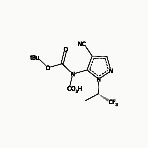 C[C@H](n1ncc(C#N)c1N(C(=O)O)C(=O)OC(C)(C)C)C(F)(F)F